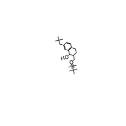 CC(C)(C)Cc1ccc2c(c1)C(O)C(CO[Si](C)(C)C(C)(C)C)CC2